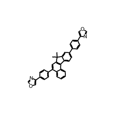 CC1(C)c2cc(-c3ccc(-c4cocn4)cc3)ccc2-c2c1cc(-c1ccc(-c3cocn3)cc1)c1ccccc21